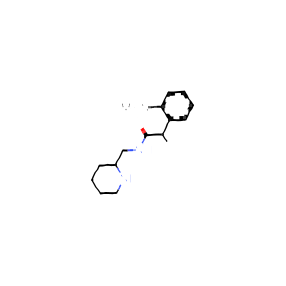 CNc1ccccc1C(C)C(=O)NCC1CCCCN1